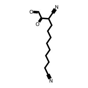 N#CCCCCCCCCC(C#N)C(=O)C=O